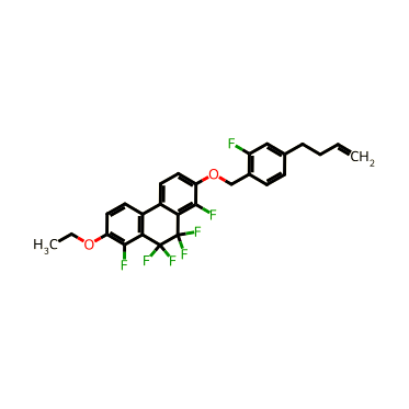 C=CCCc1ccc(COc2ccc3c(c2F)C(F)(F)C(F)(F)c2c-3ccc(OCC)c2F)c(F)c1